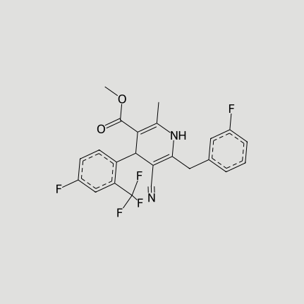 COC(=O)C1=C(C)NC(Cc2cccc(F)c2)=C(C#N)C1c1ccc(F)cc1C(F)(F)F